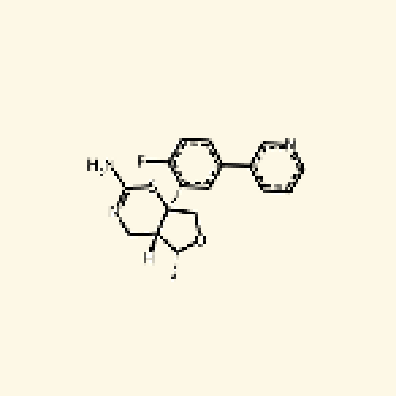 C[C@H]1OC[C@]2(c3cc(-c4cccnc4)ccc3F)SC(N)=NC[C@@H]12